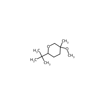 COC1(C)CCC(C(C)(C)C)OC1